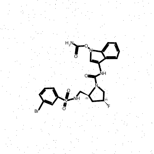 NC(=O)On1cc(NC(=O)N2C[C@H](F)C[C@H]2CNS(=O)(=O)c2cccc(Br)c2)c2ccccc21